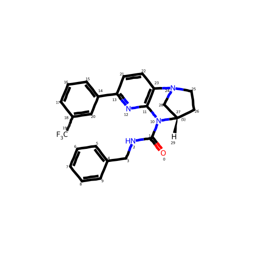 O=C(NCc1ccccc1)N1c2nc(-c3cccc(C(F)(F)F)c3)ccc2N2CC[C@H]1C2